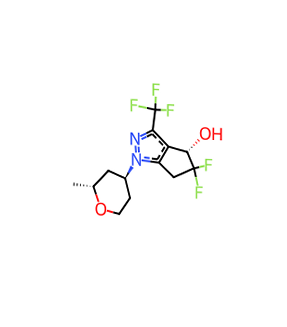 C[C@@H]1C[C@@H](n2nc(C(F)(F)F)c3c2CC(F)(F)[C@H]3O)CCO1